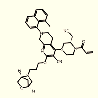 C=CC(=O)N1CCN(c2c(C#N)c(OCCCN3C[C@@H]4C[C@H]3CO4)nc3c2CCN(c2cccc4cccc(C)c24)C3)C[C@@H]1CC#N